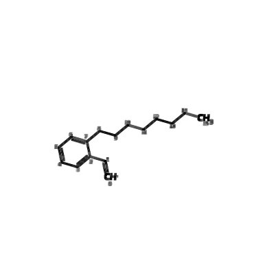 [CH]=Cc1ccccc1CCCCCCCC